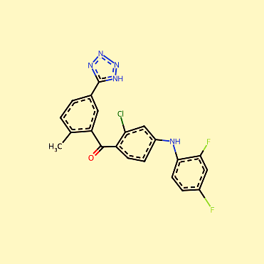 Cc1ccc(-c2nnn[nH]2)cc1C(=O)c1ccc(Nc2ccc(F)cc2F)cc1Cl